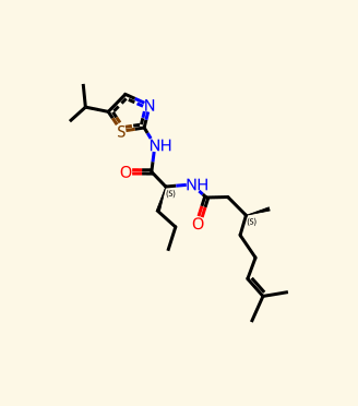 CCC[C@H](NC(=O)C[C@@H](C)CCC=C(C)C)C(=O)Nc1ncc(C(C)C)s1